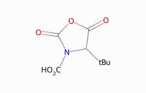 CC(C)(C)C1C(=O)OC(=O)N1C(=O)O